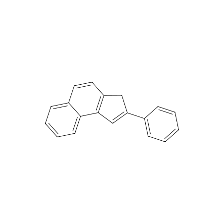 C1=C(c2ccccc2)Cc2ccc3ccccc3c21